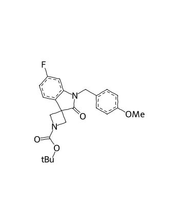 COc1ccc(CN2C(=O)C3(CN(C(=O)OC(C)(C)C)C3)c3ccc(F)cc32)cc1